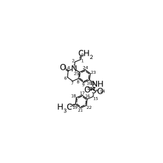 C=CCN1C(=O)CCc2cc(NS(=O)(=O)Cc3ccc(C)cc3)ccc21